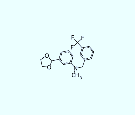 CN(Cc1cccc(C(F)(F)F)c1)c1cccc(C2OCCO2)c1